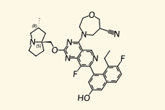 CCc1c(F)ccc2cc(O)cc(-c3ncc4c(N5CCOCC(C#N)C5)nc(OC[C@@]56CCCN5C[C@H](C)C6)nc4c3F)c12